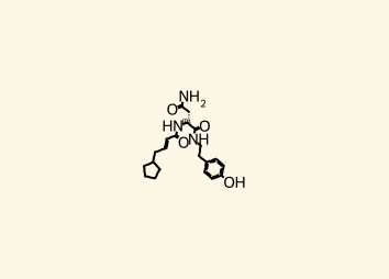 NC(=O)C[C@@H](NC(=O)C=CCC1CCCC1)C(=O)NCCc1ccc(O)cc1